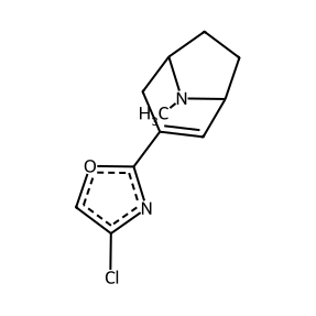 CN1C2C=C(c3nc(Cl)co3)CC1CC2